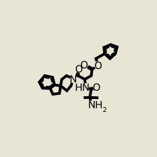 CC(C)(N)C(=O)NC(CC(=O)OCc1ccccc1)C(=O)N1CCC2(CCc3ccccc32)CC1